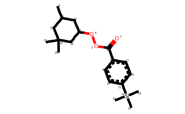 CC1C[C](OOC(=O)c2ccc([Si](C)(C)C)cc2)CC(C)(C)C1